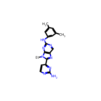 CCn1c(-c2ccnc(N)n2)nc2cnc(Nc3cc(C)cc(C)c3)nc21